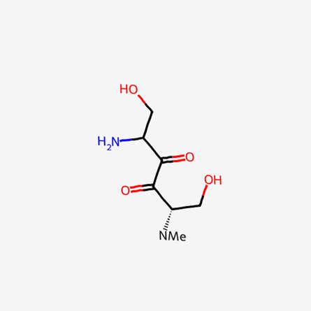 CN[C@@H](CO)C(=O)C(=O)C(N)CO